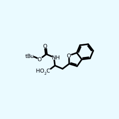 CC(C)(C)OC(=O)NC(Cc1cc2ccccc2o1)C(=O)O